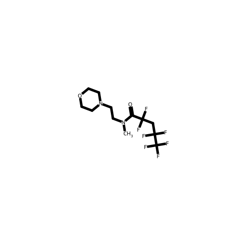 CN(CCN1CCOCC1)C(=O)C(F)(F)CC(F)(F)C(F)(F)F